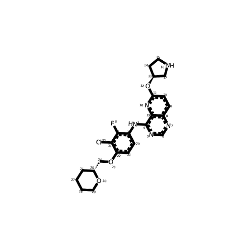 Fc1c(Nc2ncnc3ccc(O[C@H]4CCNC4)nc23)ccc(OC[C@H]2CCCCO2)c1Cl